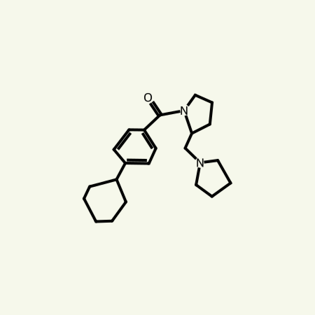 O=C(c1ccc(C2CCCCC2)cc1)N1CCCC1CN1CCCC1